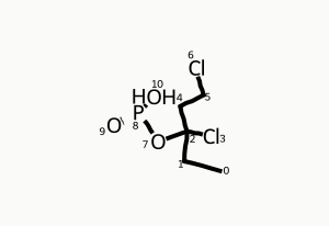 CCC(Cl)(CCCl)O[PH](=O)O